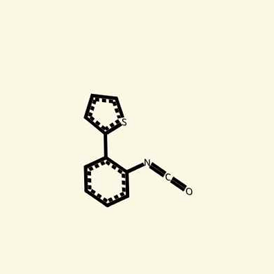 O=C=Nc1ccccc1-c1cccs1